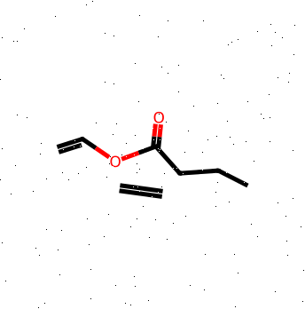 C=C.C=COC(=O)CCC